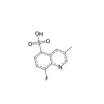 Cc1cnc2c(F)ccc(S(=O)(=O)O)c2c1